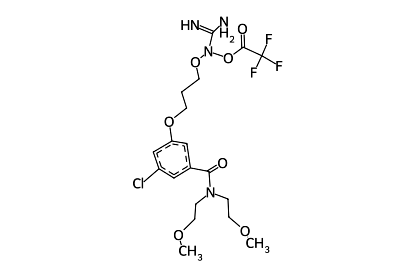 COCCN(CCOC)C(=O)c1cc(Cl)cc(OCCCON(OC(=O)C(F)(F)F)C(=N)N)c1